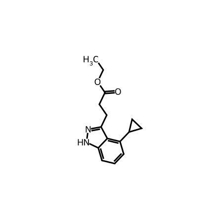 CCOC(=O)CCc1n[nH]c2cccc(C3CC3)c12